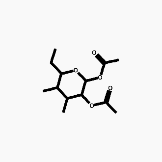 CCC1OC(OC(C)=O)C(OC(C)=O)C(C)C1C